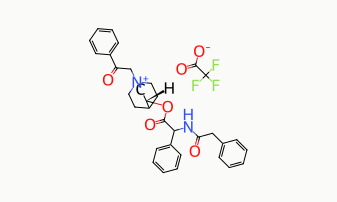 O=C(Cc1ccccc1)NC(C(=O)O[C@H]1C[N+]2(CC(=O)c3ccccc3)CCC1CC2)c1ccccc1.O=C([O-])C(F)(F)F